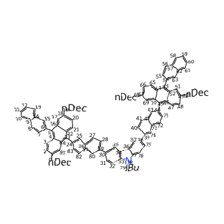 CCCCCCCCCCc1ccc2c(-c3ccc4ccccc4c3)c3cc(CCCCCCCCCC)ccc3c(C3=CC4=CC=C(c5ccc6c(c5)c5cc(-c7ccc8cc(-c9c%10ccc(CCCCCCCCCC)cc%10c(-c%10ccc%11ccccc%11c%10)c%10ccc(CCCCCCCCCC)cc9%10)ccc8c7)ccc5n6C(C)CC)CC4C=C3)c2c1